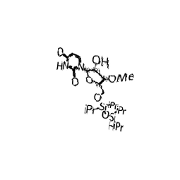 CO[C@H]1[C@@H](O)[C@H](n2ccc(=O)[nH]c2=O)O[C@@H]1CO[Si](O[SiH](C(C)C)C(C)C)(C(C)C)C(C)C